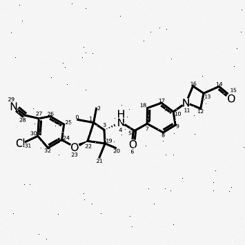 CC1(C)[C@H](NC(=O)c2ccc(N3CC(C=O)C3)cc2)C(C)(C)[C@H]1Oc1ccc(C#N)c(Cl)c1